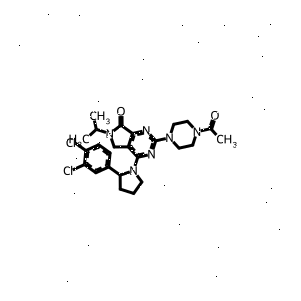 CC(=O)N1CCN(c2nc3c(c(N4CCCC4c4ccc(Cl)c(Cl)c4)n2)CN(C(C)C)C3=O)CC1